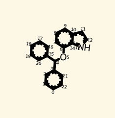 c1ccc(C(Oc2cccc3cc[nH]c23)c2ccccc2)cc1